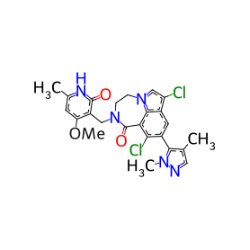 COc1cc(C)[nH]c(=O)c1CN1CCn2cc(Cl)c3cc(-c4c(C)cnn4C)c(Cl)c(c32)C1=O